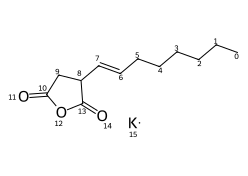 CCCCCCC=CC1CC(=O)OC1=O.[K]